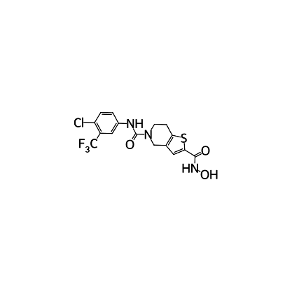 O=C(NO)c1cc2c(s1)CCN(C(=O)Nc1ccc(Cl)c(C(F)(F)F)c1)C2